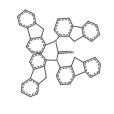 N=C(N(c1cccc2c1Cc1ccccc1-2)c1cccc2c1Cc1ccccc1-2)N(c1cccc2c1Cc1ccccc1-2)c1cccc2c1Cc1ccccc1-2